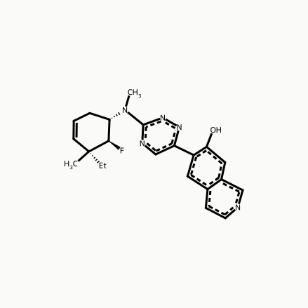 CC[C@]1(C)C=CC[C@H](N(C)c2ncc(-c3cc4ccncc4cc3O)nn2)[C@H]1F